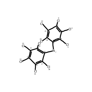 Clc1c(Cl)c(Cl)c([N]c2c(Cl)c(Cl)c(Cl)c(Cl)c2Cl)c(Cl)c1Cl